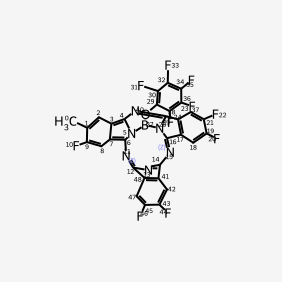 Cc1cc2c3n4c(c2cc1F)/N=C1N=C(/N=c2/c5cc(F)c(F)cc5c(n2B4Oc2c(F)c(F)c(F)c(F)c2F)=N3)c2cc(F)c(F)cc2\1